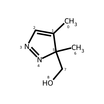 CC1=CN=NC1(C)CO